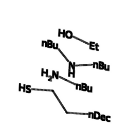 CCCCCCCCCCCCS.CCCCN.CCCCNCCCC.CCO